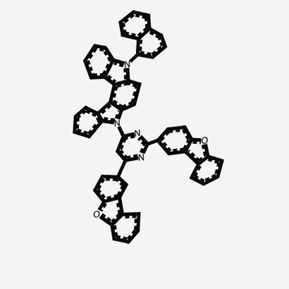 c1ccc2c(-n3c4ccccc4c4c5c6ccccc6n(-c6cc(-c7ccc8oc9ccccc9c8c7)nc(-c7ccc8oc9ccccc9c8c7)n6)c5ccc43)cccc2c1